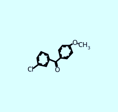 COc1ccc(C(=O)c2cccc(Cl)c2)cc1